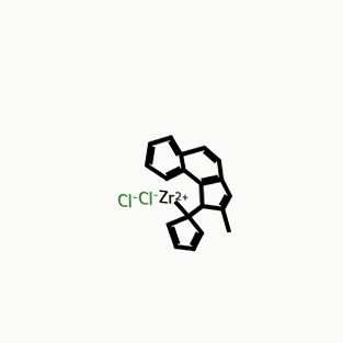 CC1=Cc2ccc3ccccc3c2C1[C]1([Zr+2])C=CC=C1.[Cl-].[Cl-]